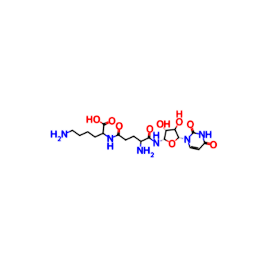 NCCCCC(NC(=O)CCC(N)C(=O)N[C@H]1O[C@@H](n2ccc(=O)[nH]c2=O)C(O)[C@H]1O)C(=O)O